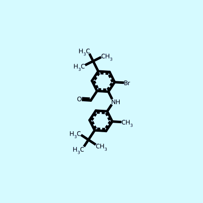 Cc1cc(C(C)(C)C)ccc1Nc1c(Br)cc(C(C)(C)C)cc1C=O